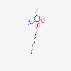 CCCCCCCCCCOc1c(CN(C)C)cc(CC)cc1OC